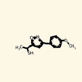 COc1ccc(-c2cc(C(C)S)on2)cc1